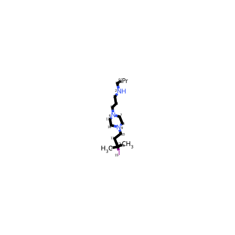 CC(C)CNCCCN1CCN(CCC(C)(C)I)CC1